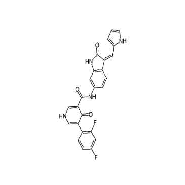 O=C1Nc2cc(NC(=O)c3c[nH]cc(-c4ccc(F)cc4F)c3=O)ccc2/C1=C/c1ccc[nH]1